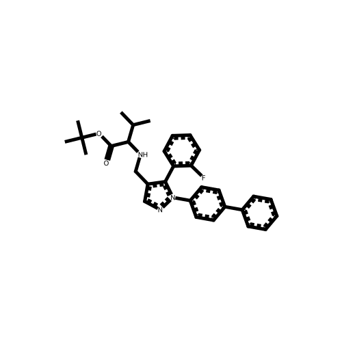 CC(C)C(NCc1cnn(-c2ccc(-c3ccccc3)cc2)c1-c1ccccc1F)C(=O)OC(C)(C)C